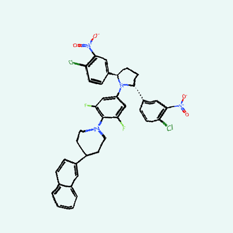 O=[N+]([O-])c1cc([C@H]2CC[C@H](c3ccc(Cl)c([N+](=O)[O-])c3)N2c2cc(F)c(N3CCC(c4ccc5ccccc5c4)CC3)c(F)c2)ccc1Cl